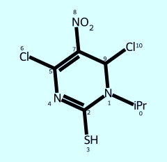 CC(C)N1C(S)=NC(Cl)=C([N+](=O)[O-])C1Cl